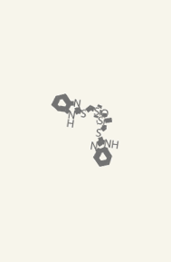 C[Si](C)(CSc1nc2ccccc2[nH]1)O[Si](C)(C)CSc1nc2ccccc2[nH]1